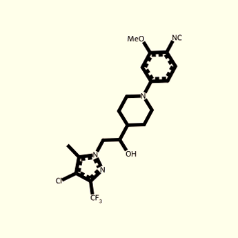 [C-]#[N+]c1ccc(N2CCC(C(O)Cn3nc(C(F)(F)F)c(Cl)c3C)CC2)cc1OC